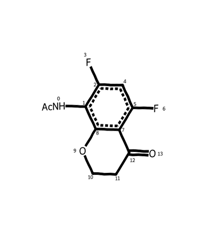 CC(=O)Nc1c(F)cc(F)c2c1OCCC2=O